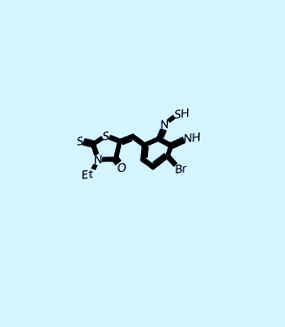 CCN1C(=O)/C(=C\C2=CC=C(Br)C(=N)/C2=N\S)SC1=S